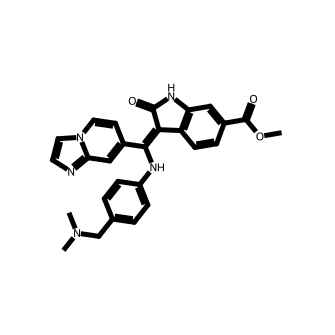 COC(=O)c1ccc2c(c1)NC(=O)C2=C(Nc1ccc(CN(C)C)cc1)c1ccn2ccnc2c1